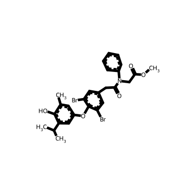 COC(=O)CN(C(=O)Cc1cc(Br)c(Oc2cc(C)c(O)c(C(C)C)c2)c(Br)c1)c1ccccc1